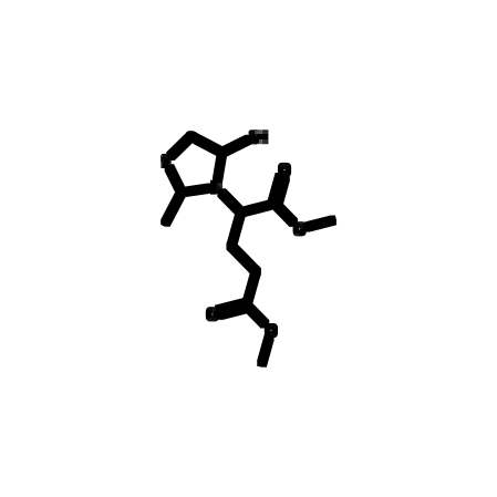 COC(=O)CCC(C(=O)OC)N1C(S)CSC1C